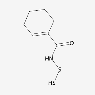 O=C(NSS)C1=CCCCC1